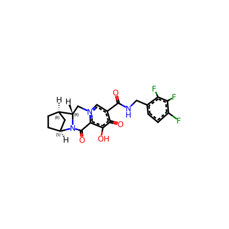 O=C(NCc1ccc(F)c(F)c1F)c1cn2c(c(O)c1=O)C(=O)N1[C@H]3CC[C@H](C3)[C@@H]1C2